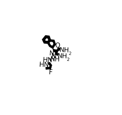 NC(=O)c1c([C@@H]2CCc3ccccc3C2)nn(NN[C@H]2C[C@@H](F)CN2)c1N